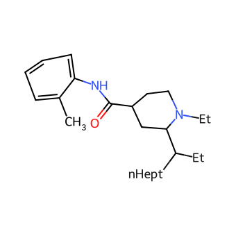 CCCCCCCC(CC)C1CC(C(=O)Nc2ccccc2C)CCN1CC